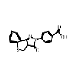 O=C(O)c1ccc(N2N=C3c4ccccc4SCC3C2=O)cc1